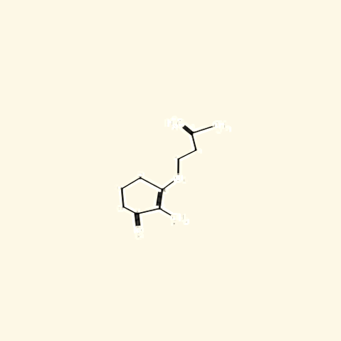 C=C(C)CCOC1=C(C)C(=O)CCC1